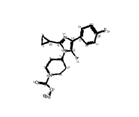 CC(C)(C)OC(=O)N1CCC(n2c(C3CC3)nc(-c3ccc(F)cc3)c2Br)CC1